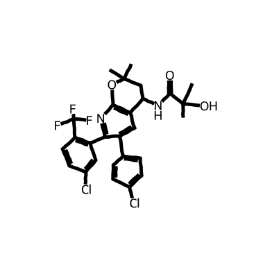 CC1(C)CC(NC(=O)C(C)(C)O)c2cc(-c3ccc(Cl)cc3)c(-c3cc(Cl)ccc3C(F)(F)F)nc2O1